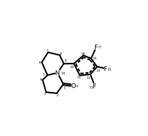 O=C1CCCC2CCCC(c3cc(F)c(F)c(F)c3)N12